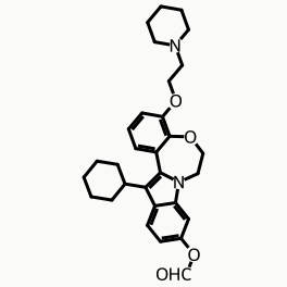 O=COc1ccc2c(C3CCCCC3)c3n(c2c1)CCOc1c(OCCN2CCCCC2)cccc1-3